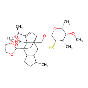 CO[C@H]1[C@H](C)[C@@H](S)[C@H](OCC23CC4C(C)CCC4C4(C5OCCO5)CC2C=C(C(C)C)C34C(=O)O)O[C@@H]1C